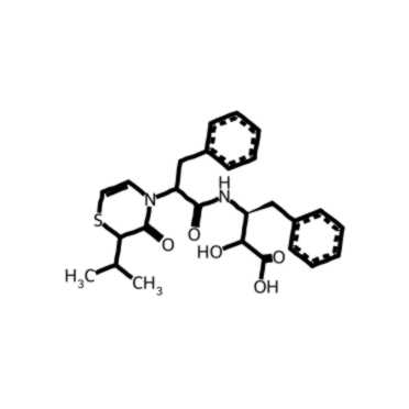 CC(C)C1SC=CN(C(Cc2ccccc2)C(=O)N[C@@H](Cc2ccccc2)C(O)C(=O)O)C1=O